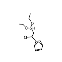 CCO[SiH](CC(Cl)C1CC2C=CC1C2)OCC